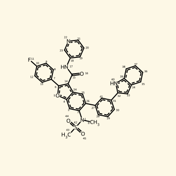 CN(c1cc2oc(-c3ccc(F)cc3)c(C(=O)Nc3cccnc3)c2cc1-c1cccc(-c2cc3ccccc3[nH]2)c1)S(C)(=O)=O